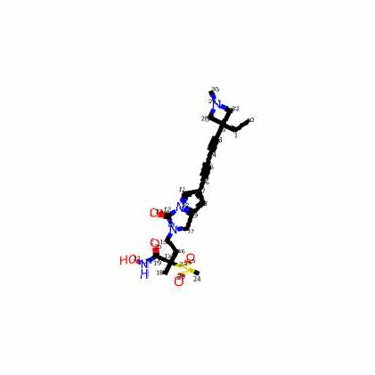 CCC1(C#CC#Cc2cc3n(c2)C(=O)N(CCC(C)(C(=O)NO)S(C)(=O)=O)C3)CN(C)C1